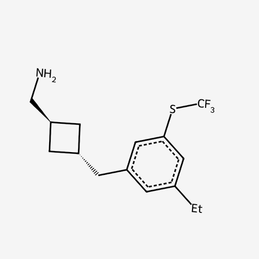 CCc1cc(C[C@H]2C[C@H](CN)C2)cc(SC(F)(F)F)c1